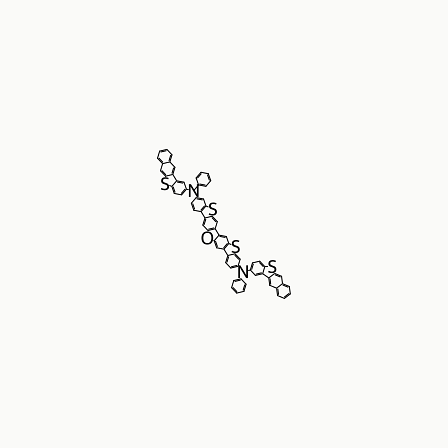 c1ccc(N(c2ccc3c(c2)sc2cc4c(cc23)oc2cc3c(cc24)sc2cc(N(c4ccccc4)c4ccc5sc6cc7ccccc7cc6c5c4)ccc23)c2ccc3sc4cc5ccccc5cc4c3c2)cc1